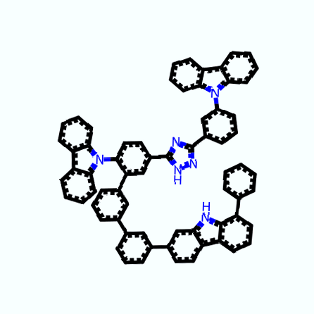 c1ccc(-c2cccc3c2[nH]c2cc(-c4cccc(-c5cccc(-c6cc(-c7nc(-c8cccc(-n9c%10ccccc%10c%10ccccc%109)c8)n[nH]7)ccc6-n6c7ccccc7c7ccccc76)c5)c4)ccc23)cc1